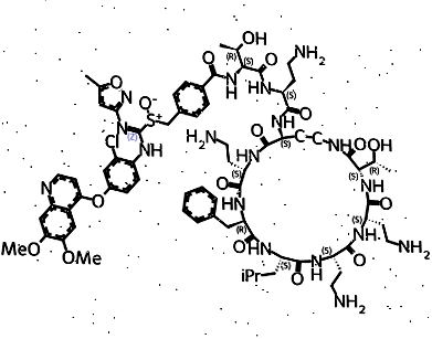 COc1cc2nccc(Oc3ccc(N/C(=N/c4cc(C)on4)[S+]([O-])Cc4ccc(C(=O)N[C@H](C(=O)N[C@@H](CCN)C(=O)N[C@H]5CCNC(=O)[C@H]([C@@H](C)O)NC(=O)[C@H](CCN)NC(=O)[C@H](CCN)NC(=O)[C@H](CC(C)C)NC(=O)[C@@H](Cc6ccccc6)NC(=O)[C@H](CCN)NC5=O)[C@@H](C)O)cc4)c(Cl)c3)c2cc1OC